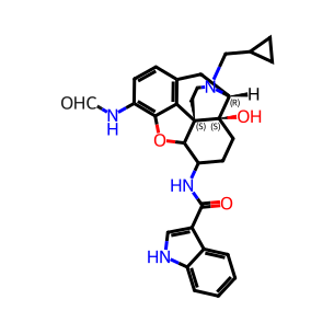 O=CNc1ccc2c3c1OC1C(NC(=O)c4c[nH]c5ccccc45)CC[C@@]4(O)[C@@H](C2)N(CC2CC2)CC[C@]314